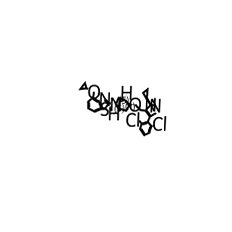 Clc1cccc(Cl)c1-c1cnn(C2CC2)c1CO[C@@H]1C[C@@H]2C[C@H]1CN2c1nc2c(OC3CC3)cccc2s1